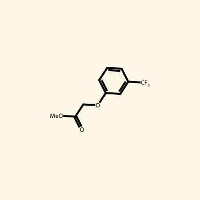 COC(=O)COc1cccc(C(F)(F)F)c1